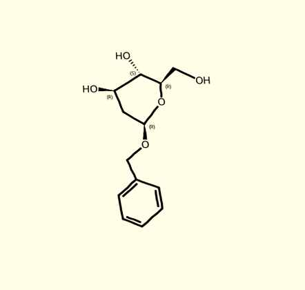 OC[C@H]1O[C@@H](OCc2ccccc2)C[C@@H](O)[C@@H]1O